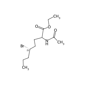 CCC[C@H](Br)CCC(NC(C)=O)C(=O)OCC